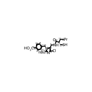 CCCCc1nc(Cl)c(CNC(=O)[C@@H](CS)CC(C)C)n1Cc1ccc(C(=O)O)cc1